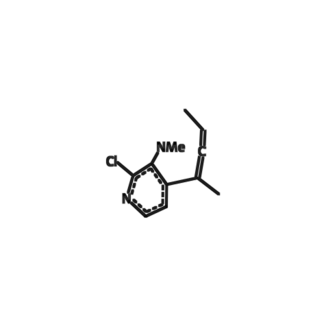 CC=C=C(C)c1ccnc(Cl)c1NC